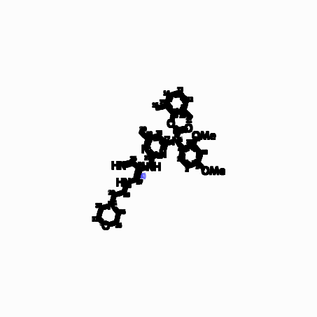 COc1ccc(N(C(=O)Oc2c(C)cccc2C)c2cc(C)nc(N/C(C=N)=C/NCCN3CCOCC3)n2)c(OC)c1